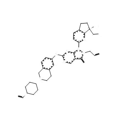 C=CCn1c(=O)c2cnc(Nc3ccc4c(c3)CCN([C@H]3CC[C@H](C=O)CC3)C4)nc2n1-c1ccc2c(n1)[C@@](O)(CC)CC2